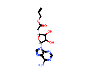 C=CCOC(=O)C[C@H]1O[C@@H](n2cnc3c(N)ncnc32)C(O)C1O